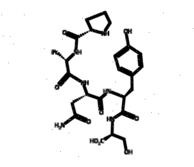 CC(C)[C@H](NC(=O)[C@@H]1CCCN1)C(=O)N[C@@H](CC(N)=O)C(=O)N[C@@H](Cc1ccc(O)cc1)C(=O)N[C@@H](CO)C(=O)O